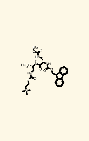 CC(C)(C)OC(=O)NC[C@H](NC(=O)OCC1c2ccccc2-c2ccccc21)C(=O)N[C@H](CNC(=O)OCC[Si](C)(C)C)C(=O)O